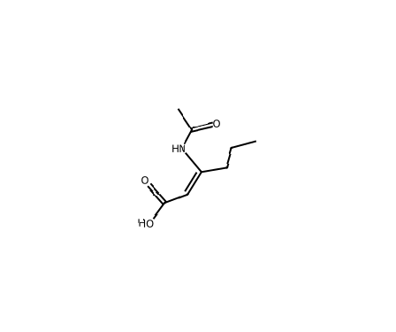 CCC/C(=C/C(=O)O)NC(C)=O